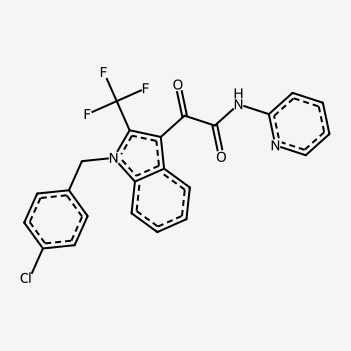 O=C(Nc1ccccn1)C(=O)c1c(C(F)(F)F)n(Cc2ccc(Cl)cc2)c2ccccc12